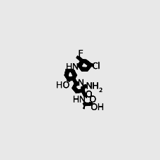 C[C@@H](NC(=O)c1ccc(-c2cc(Nc3ccc(Cl)cc3CF)ccc2O)nc1N)C(=O)O